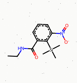 CCNC(=O)c1cccc([N+](=O)[O-])c1[Si](C)(C)C